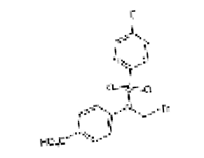 CC(C)CN(c1ccc(C(=O)O)cc1)S(=O)(=O)c1ccc(F)cc1